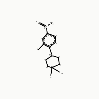 [CH2]c1cc([N+](=O)[O-])ccc1N1CCC(F)(F)CC1